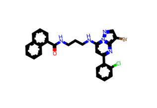 O=C(NCCCNc1cc(-c2ccccc2Cl)nc2c(Br)cnn12)c1cccc2ccccc12